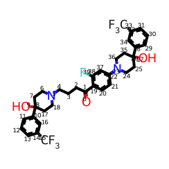 O=C(CCCN1CCC(O)(c2cccc(C(F)(F)F)c2)CC1)c1ccc(N2CCC(O)(c3cccc(C(F)(F)F)c3)CC2)cc1F